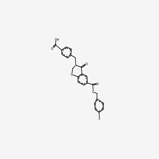 O=C(O)c1ccc(CN2COc3ccc(C(=O)OCc4ccc(F)cc4)cc3C2=O)cc1